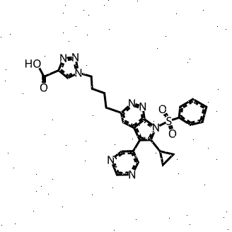 O=C(O)c1cn(CCCCc2cc3c(-c4cncnc4)c(C4CC4)n(S(=O)(=O)c4ccccc4)c3nn2)nn1